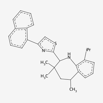 CC(C)c1cccc2c1NC(c1nc(-c3cccc4ccccc34)cs1)C(C)(C)CC2C